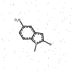 Cn1c(Br)cc2cc([N+](=O)[O-])ccc21